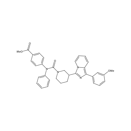 COC(=O)c1ccc(N(C(=O)N2CCCC(c3nc(-c4cccc(OC)c4)c4ccccn34)C2)c2ccccc2)cc1